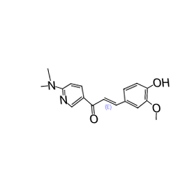 COc1cc(/C=C/C(=O)c2ccc(N(C)C)nc2)ccc1O